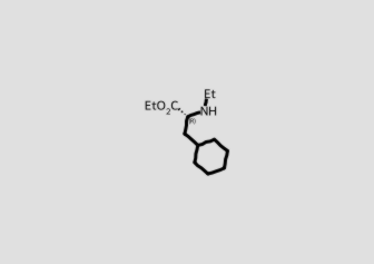 CCN[C@H](CC1CCCCC1)C(=O)OCC